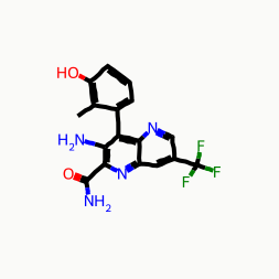 Cc1c(O)cccc1-c1c(N)c(C(N)=O)nc2cc(C(F)(F)F)cnc12